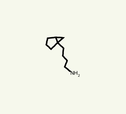 NCCCCC12CCCC1C2